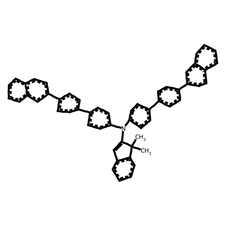 CC1(C)C(N(c2ccc(-c3ccc(-c4ccc5ccccc5c4)cc3)cc2)c2ccc(-c3ccc(-c4ccc5ccccc5c4)cc3)cc2)=Cc2ccccc21